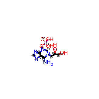 NC1=C2N=CN=C2N(OP(=O)(O)O)CN1CC(O)CO